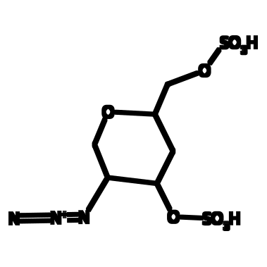 [N-]=[N+]=NC1COC(COS(=O)(=O)O)CC1OS(=O)(=O)O